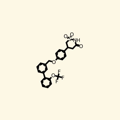 O=C1CC(c2ccc(OCc3cccc(-c4ccccc4OC(F)(F)F)c3)cc2)CS(=O)(=O)N1